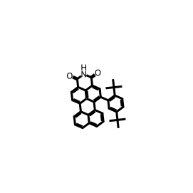 CC(C)(C)c1ccc(C(C)(C)C)c(-c2cc3c4c(ccc5c6cccc7cccc(c2c45)c76)C(=O)NC3=O)c1